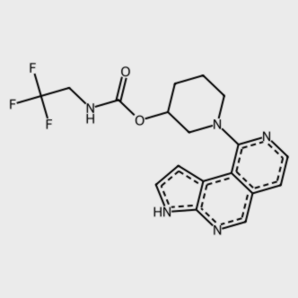 O=C(NCC(F)(F)F)OC1CCCN(c2nccc3cnc4[nH]ccc4c23)C1